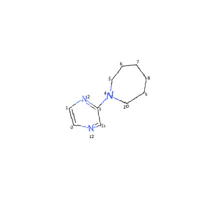 c1cnc(N2CCCCCC2)cn1